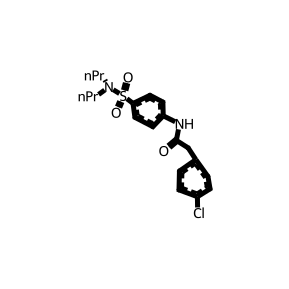 CCCN(CCC)S(=O)(=O)c1ccc(NC(=O)Cc2ccc(Cl)cc2)cc1